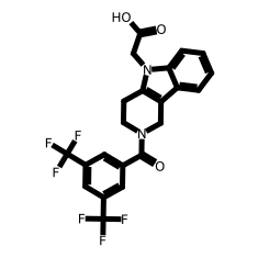 O=C(O)Cn1c2c(c3ccccc31)CN(C(=O)c1cc(C(F)(F)F)cc(C(F)(F)F)c1)CC2